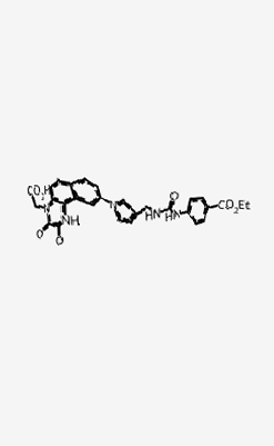 CCOC(=O)c1ccc(NC(=O)NCc2ccn(-c3ccc4ccc5c([nH]c(=O)c(=O)n5CC(=O)O)c4c3)c2)cc1